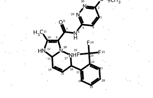 COc1ccc(NC(=O)C2=C(C)NC3C=CC(c4ccccc4C(F)(F)F)NN23)nn1